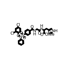 COC(=O)C(Cc1c[nH]cn1)NC(=O)CNC(=O)c1ccc(S(=O)(=O)N(Oc2ccc(Cl)cc2Cl)c2ccccc2)cc1